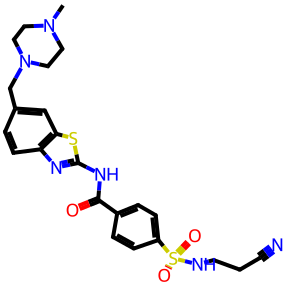 CN1CCN(Cc2ccc3nc(NC(=O)c4ccc(S(=O)(=O)NCCC#N)cc4)sc3c2)CC1